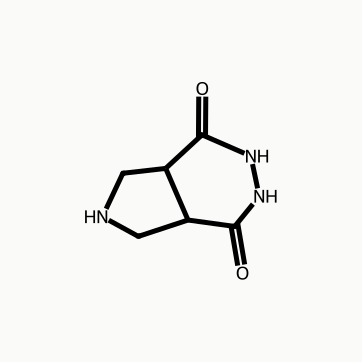 O=C1NNC(=O)C2CNCC12